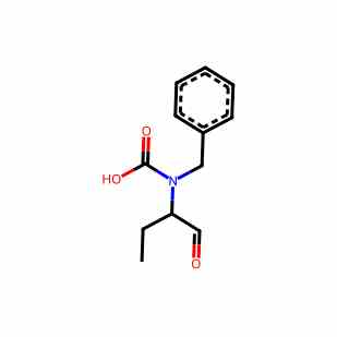 CCC(C=O)N(Cc1ccccc1)C(=O)O